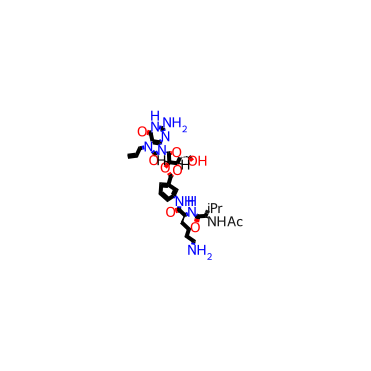 C=CCn1c(=O)n([C@@H]2O[C@H](CO)[C@H]3OC(c4cccc(NC(=O)[C@H](CCCCN)NC(=O)[C@@H](NC(C)=O)C(C)C)c4)O[C@H]32)c2nc(N)[nH]c(=O)c21